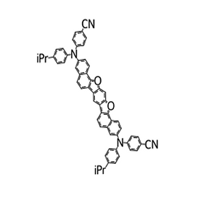 CC(C)c1ccc(N(c2ccc(C#N)cc2)c2ccc3c(ccc4c5cc6c(cc5oc34)oc3c4ccc(N(c5ccc(C#N)cc5)c5ccc(C(C)C)cc5)cc4ccc63)c2)cc1